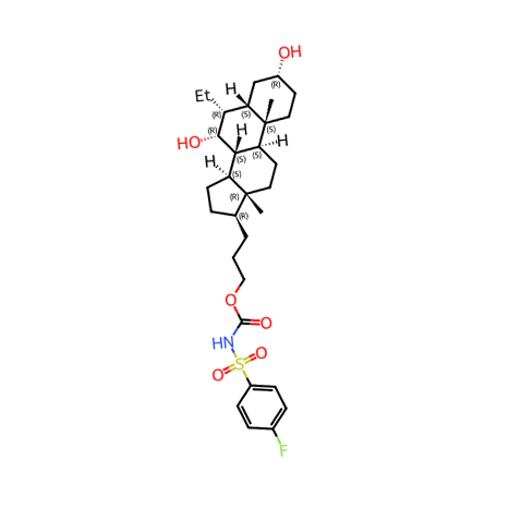 CC[C@H]1[C@@H](O)[C@@H]2[C@H](CC[C@]3(C)[C@@H](CCCOC(=O)NS(=O)(=O)c4ccc(F)cc4)CC[C@@H]23)[C@@]2(C)CC[C@@H](O)C[C@@H]12